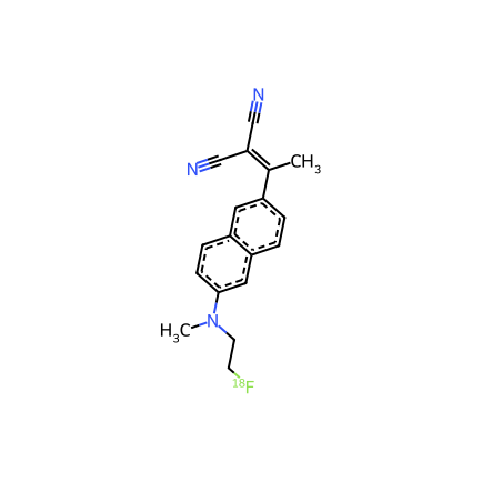 CC(=C(C#N)C#N)c1ccc2cc(N(C)CC[18F])ccc2c1